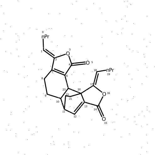 CCCC=C1OC(=O)C2=C1CCC1C3C=C4C(=O)OC(=CCCC)C4(CC3)C21